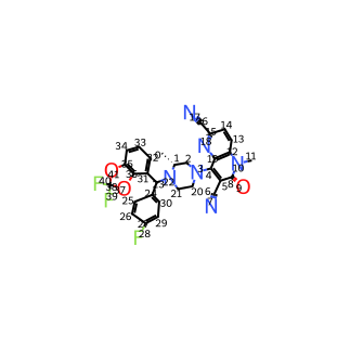 C[C@@H]1CN(c2c(C#N)c(=O)n(C)c3ccc(C#N)nc23)CCN1C(c1ccc(F)cc1)c1cccc2c1OC(F)(F)O2